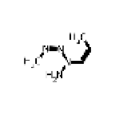 C/C=C\N(N)/N=N\C